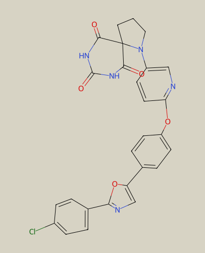 O=C1NC(=O)C2(CCCN2c2ccc(Oc3ccc(-c4cnc(-c5ccc(Cl)cc5)o4)cc3)nc2)C(=O)N1